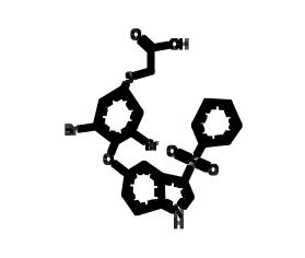 O=C(O)CSc1cc(Br)c(Oc2ccc3[nH]cc(S(=O)(=O)c4ccccc4)c3c2)c(Br)c1